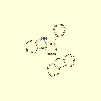 c1ccc(-c2cccc3c2[nH]c2ccccc23)cc1.c1ccc2c(c1)Cc1ccccc1-2